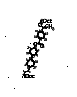 CCCCCCCCCCCCc1ccc(-c2ccc(OC(=O)c3ccc(C(C)OCCCCCCCC)cc3)cc2)cc1